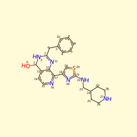 OC1NC(Cc2ccccc2)=Nc2c1ccnc2-c1csc(NCC2CCNCC2)n1